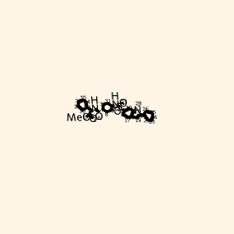 COC(=O)[C@@H](NC(=O)[C@H]1CC[C@H](NS(=O)(=O)c2ccc3cc(-c4ccccc4)n(C)c3c2)CC1)c1ccccc1